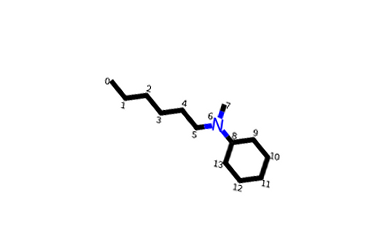 CCCCCCN(C)C1CCCCC1